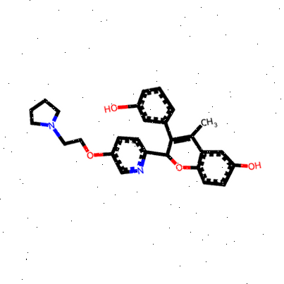 CC1=C(c2cccc(O)c2)C(c2ccc(OCCN3CCCC3)cn2)Oc2ccc(O)cc21